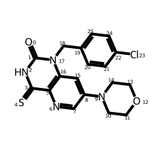 O=c1[nH]c(=S)c2ncc(N3CCOCC3)cc2n1Cc1ccc(Cl)cc1